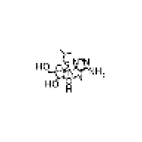 CC(C)CS[C@@]1(n2cnc3c(N)ncnc32)O[C@H](CO)[C@@H](O)[C@H]1O